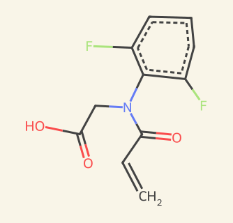 C=CC(=O)N(CC(=O)O)c1c(F)cccc1F